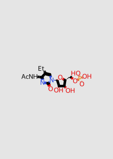 CCc1cn([C@@H]2O[C@H](COP(=O)(O)O)C(O)[C@H]2O)c(=O)nc1NC(C)=O